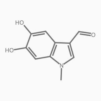 Cn1cc(C=O)c2cc(O)c(O)cc21